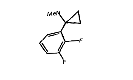 CNC1(c2cccc(F)c2F)CC1